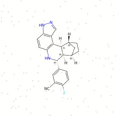 N#Cc1cc([C@@H]2Nc3ccc4[nH]ncc4c3[C@H]3[C@@H]4CC[C@H](C4)[C@H]32)ccc1F